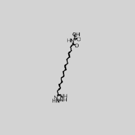 O=C(CCCCCCCCCCCCCCCC1=NNNN1)NS(=O)O